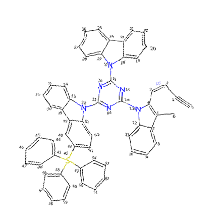 C#C/C=C\c1c(C)c2ccccc2n1-c1nc(-n2c3ccccc3c3ccccc32)nc(-n2c3ccccc3c3cc(S(c4ccccc4)(c4ccccc4)c4ccccc4)ccc32)n1